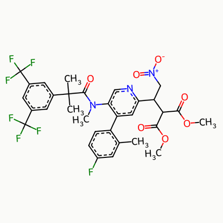 COC(=O)C(C(=O)OC)C(C[N+](=O)[O-])c1cc(-c2ccc(F)cc2C)c(N(C)C(=O)C(C)(C)c2cc(C(F)(F)F)cc(C(F)(F)F)c2)cn1